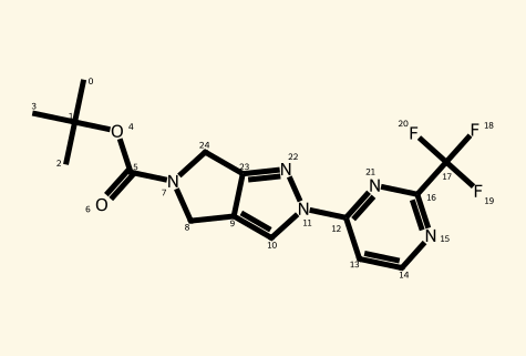 CC(C)(C)OC(=O)N1Cc2cn(-c3ccnc(C(F)(F)F)n3)nc2C1